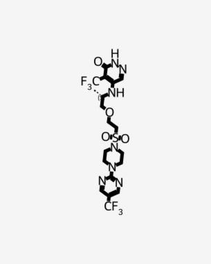 C[C@@H](COCCS(=O)(=O)N1CCN(c2ncc(C(F)(F)F)cn2)CC1)Nc1cn[nH]c(=O)c1C(F)(F)F